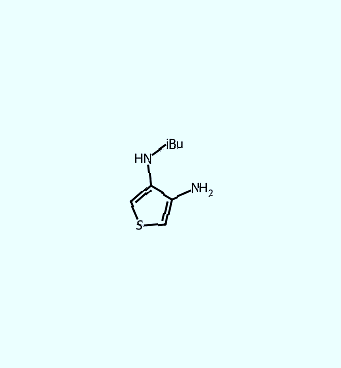 CCC(C)Nc1cscc1N